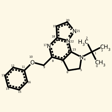 CC(C)(C)N1CCc2c(COc3ccccc3)nc3ccnn3c21